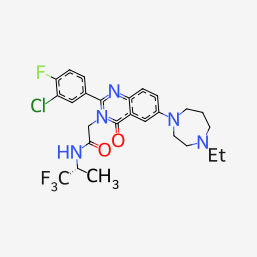 CCN1CCCN(c2ccc3nc(-c4ccc(F)c(Cl)c4)n(CC(=O)N[C@H](C)C(F)(F)F)c(=O)c3c2)CC1